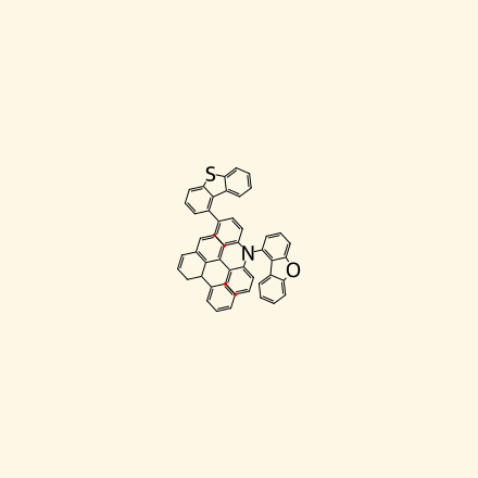 C1=Cc2cccc(-c3ccccc3N(c3ccc(-c4cccc5sc6ccccc6c45)cc3)c3cccc4oc5ccccc5c34)c2C(c2ccccc2)C1